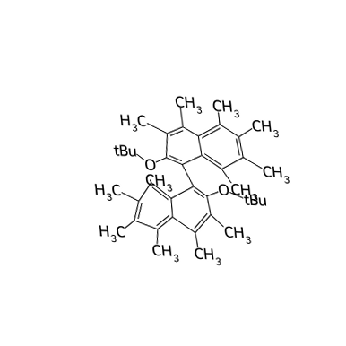 Cc1c(C)c(C)c2c(-c3c(OC(C)(C)C)c(C)c(C)c4c(C)c(C)c(C)c(C)c34)c(OC(C)(C)C)c(C)c(C)c2c1C